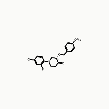 COc1ccc(CO[C@H]2CN(c3ccc(Cl)cc3F)CCC2=O)cc1